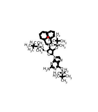 CC(C)(C)[Si](C)(C)OC[C@H]1O[C@@H](n2cnc3c(O[Si](C)(C)C(C)(C)C)nc(N)nc32)C(O[Si](C)(C)C(C)(C)C)C1N(Cc1ccccc1)Cc1ccccc1